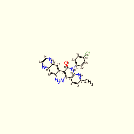 Cc1ccc2c(N)c(-c3ccc4nccnc4c3)c(=O)n(-c3ccc(Cl)cc3)c2n1